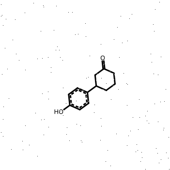 O=C1CCCC(c2ccc(O)cc2)C1